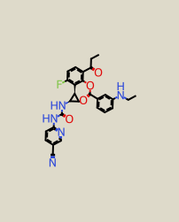 CCNc1cccc(C(=O)Oc2c(C(=O)CC)ccc(F)c2[C@H]2C[C@H]2NC(=O)Nc2ccc(C#N)cn2)c1